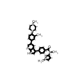 Cc1cc(-c2cnc3[nH]cc(-c4ccc(C(=O)N(C)c5ccn(C)n5)cc4)c3c2)ccc1N1CCN(C)CC1